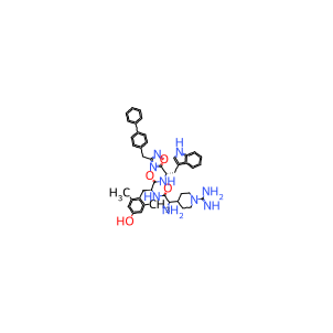 Cc1cc(O)cc(C)c1C[C@H](NC(=O)[C@H](N)C1CCN(C(=N)N)CC1)C(=O)N[C@@H](Cc1c[nH]c2ccccc12)c1nc(Cc2ccc(-c3ccccc3)cc2)no1